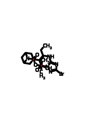 CCc1[nH]c2nc(Br)nn2c(=O)c1N1CC2CC(C1)N2C(=O)OC(C)(C)C